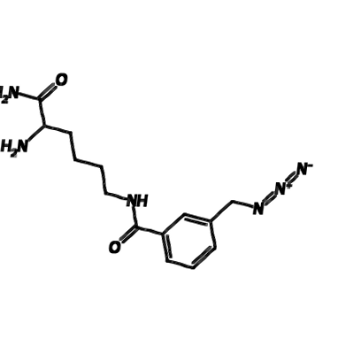 [N-]=[N+]=NCc1cccc(C(=O)NCCCCC(N)C(N)=O)c1